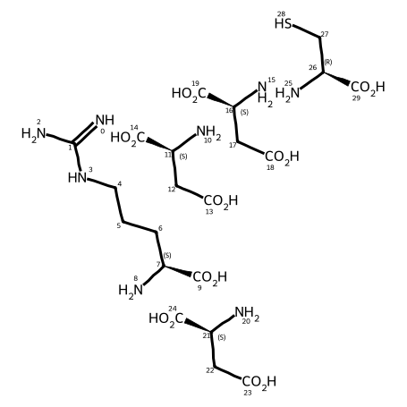 N=C(N)NCCC[C@H](N)C(=O)O.N[C@@H](CC(=O)O)C(=O)O.N[C@@H](CC(=O)O)C(=O)O.N[C@@H](CC(=O)O)C(=O)O.N[C@@H](CS)C(=O)O